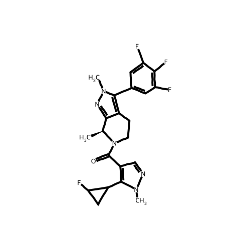 C[C@H]1c2nn(C)c(-c3cc(F)c(F)c(F)c3)c2CCN1C(=O)c1cnn(C)c1C1CC1F